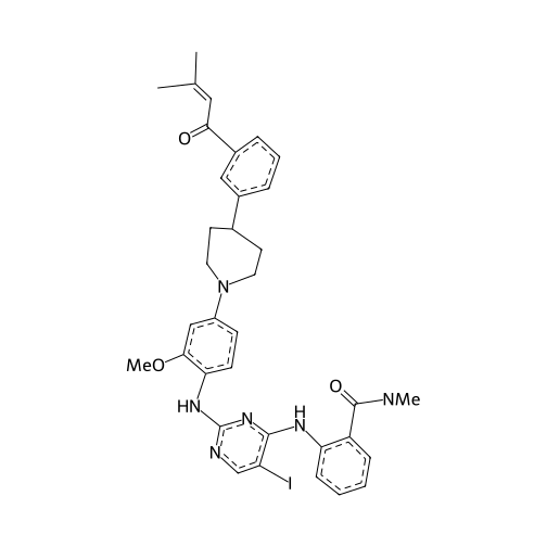 CNC(=O)c1ccccc1Nc1nc(Nc2ccc(N3CCC(c4cccc(C(=O)C=C(C)C)c4)CC3)cc2OC)ncc1I